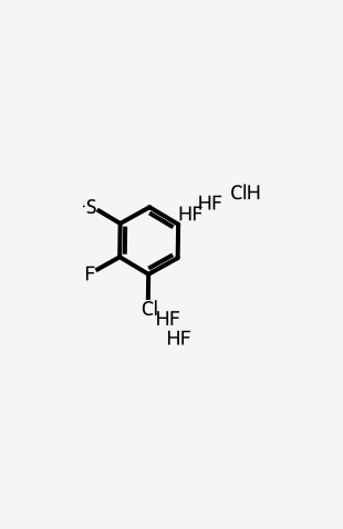 Cl.F.F.F.F.Fc1c([S])cccc1Cl